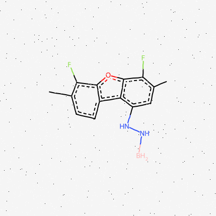 BNNc1cc(C)c(F)c2oc3c(F)c(C)ccc3c12